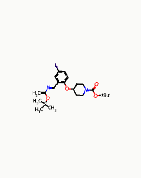 C=C(/N=C/c1cc(I)ccc1OC1CCN(C(=O)OC(C)(C)C)CC1)O[Si](C)(C)C